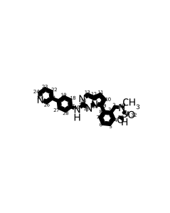 CN(Cc1ccccc1-c1ccc2cnc(Nc3ccc(-c4cccnc4)cc3)nn12)[SH](=O)=O